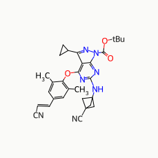 Cc1cc(/C=C/C#N)cc(C)c1Oc1nc(NC23CC(C#N)(C2)C3)nc2c1c(C1CC1)nn2C(=O)OC(C)(C)C